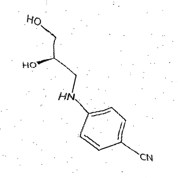 N#Cc1ccc(NC[C@@H](O)CO)cc1